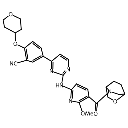 COc1nc(Nc2nccc(-c3ccc(OC4CCOCC4)c(C#N)c3)n2)ccc1C(=O)N1CC2CCC1CO2